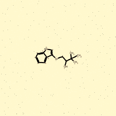 CC(C)(C)C(O)C[Se]c1c[nH]c2ccccc12